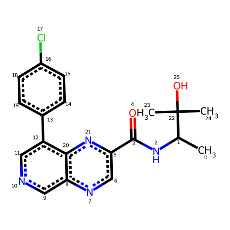 CC(NC(=O)c1cnc2cncc(-c3ccc(Cl)cc3)c2n1)C(C)(C)O